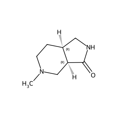 CN1CC[C@H]2CNC(=O)[C@H]2C1